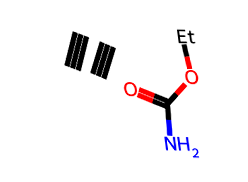 C#C.C#C.CCOC(N)=O